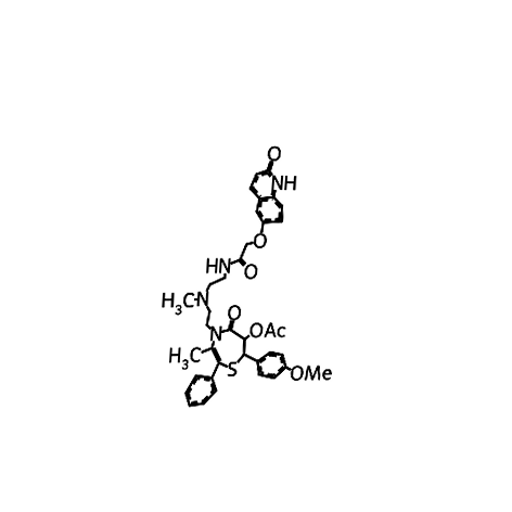 COc1ccc(C2SC(c3ccccc3)=C(C)N(CCN(C)CCNC(=O)COc3ccc4[nH]c(=O)ccc4c3)C(=O)C2OC(C)=O)cc1